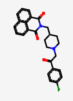 O=C(CN1CCC(CN2C(=O)c3cccc4cccc(c34)C2=O)CC1)c1ccc(F)cc1